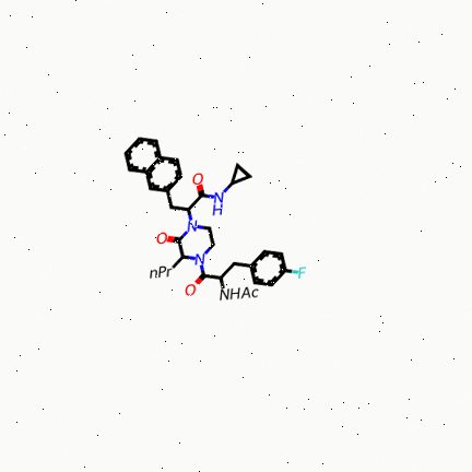 CCCC1C(=O)N(C(Cc2ccc3ccccc3c2)C(=O)NC2CC2)CCN1C(=O)C(Cc1ccc(F)cc1)NC(C)=O